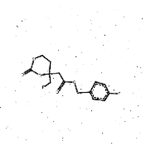 O=C(CC1(CF)CCOC(=O)O1)OCc1ccc(F)cc1